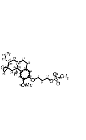 COc1cc2c(cc1OCCCOS(C)(=O)=O)CCN1C[C@@H](CC(C)C)C3(CO3)C[C@H]21